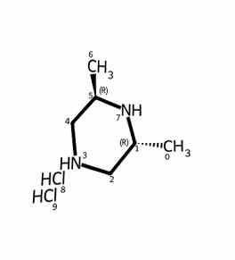 C[C@@H]1CNC[C@@H](C)N1.Cl.Cl